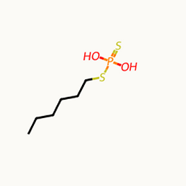 CCCCCCSP(O)(O)=S